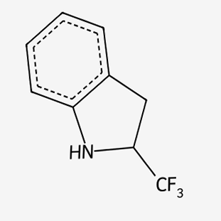 FC(F)(F)C1Cc2ccccc2N1